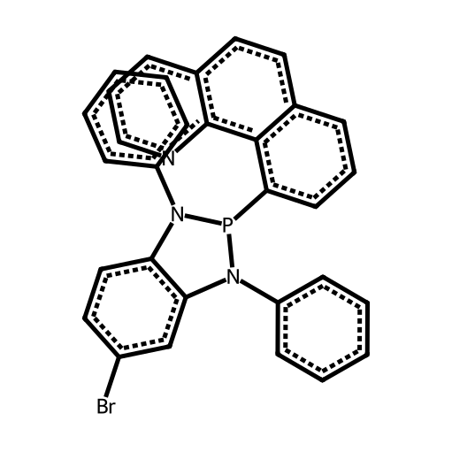 Brc1ccc2c(c1)N(c1ccccc1)P(c1cccc3ccc4cccnc4c13)N2c1ccccc1